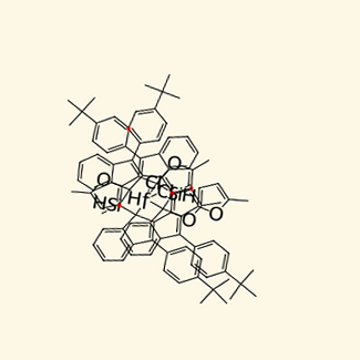 Cc1ccc(C2=C(c3ccc(C(C)(C)C)cc3)c3ccccc3[C]23[SiH](C)[C]2(C(c4ccc(C)o4)=C(c4ccc(C(C)(C)C)cc4)c4ccccc42)[Hf]32([Cl])([Cl])[C]3(C(c4ccc(C)o4)=C(c4ccc(C(C)(C)C)cc4)c4ccccc43)[SiH](C)[C]23C(c2ccc(C)o2)=C(c2ccc(C(C)(C)C)cc2)c2ccccc23)o1